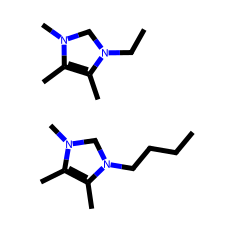 CCCCN1CN(C)C(C)=C1C.CCN1CN(C)C(C)=C1C